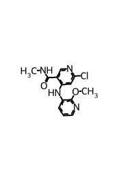 CNC(=O)c1cnc(Cl)cc1Nc1cccnc1OC